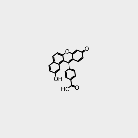 O=C(O)c1ccc(-c2c3ccc(=O)cc-3oc3ccc4ccc(O)cc4c23)cc1